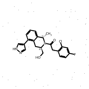 C[C@H]1c2cccc(-c3cn[nH]c3)c2C[C@H](CO)N1C(=O)Cc1ccc(F)cc1Cl